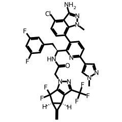 C=C1[C@@H]2c3c(C(F)(F)F)nn(CC(=O)N[C@@H](Cc4cc(F)cc(F)c4)c4nc(-c5cnn(C)c5)ccc4-c4ccc(Cl)c5c(N)nn(C)c45)c3C(F)(F)[C@H]12